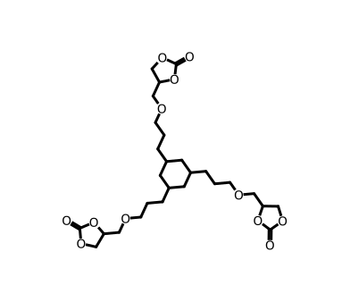 O=C1OCC(COCCCC2CC(CCCOCC3COC(=O)O3)CC(CCCOCC3COC(=O)O3)C2)O1